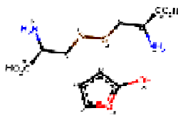 N[C@@H](CSSC[C@H](N)C(=O)O)C(=O)O.Oc1ccco1